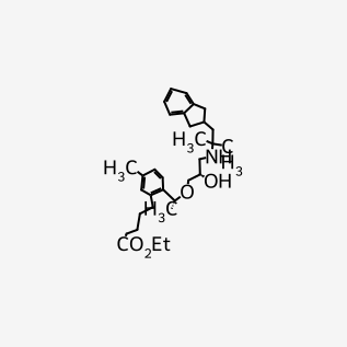 CCOC(=O)CCCCc1cc(C)ccc1[C@@H](C)OC[C@H](O)CNC(C)(C)CC1Cc2ccccc2C1